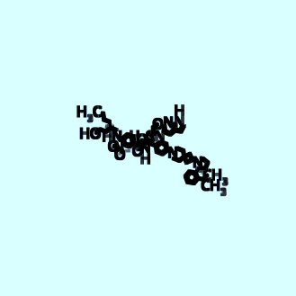 CCCC[C@H](CCO)CNc1ccc(S(=O)(=O)NC(=O)c2ccc(N3CCC4(CC3)CC(N3CCC[C@H]3c3ccccc3C(C)C)C4)cc2N2c3cc4cc[nH]c4nc3OCC2C)cc1[N+](=O)[O-]